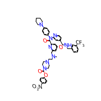 CN(CCN1CCN(C(=O)Oc2ccc([N+](=O)[O-])cc2)CC1)Cc1cccc(C(=O)N(c2ccc(N3CCCCC3)cc2)c2cc(C(=O)NCc3cccc(C(F)(F)F)c3)ccn2)n1